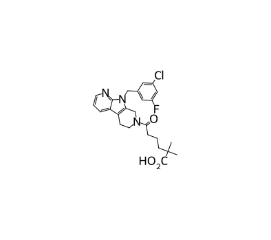 CC(C)(CCCC(=O)N1CCc2c(n(Cc3cc(F)cc(Cl)c3)c3ncccc23)C1)C(=O)O